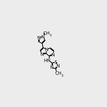 Cc1nsc(Nc2nccn3c(-c4cnn(C)c4)cnc23)n1